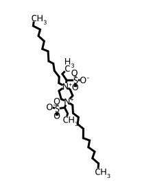 CCCCCCCCCCCC[N+]1(C(CC)S(=O)(=O)[O-])CC[N+](CCCCCCCCCCCC)(C(CC)S(=O)(=O)[O-])CC1